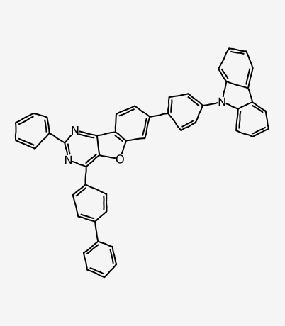 c1ccc(-c2ccc(-c3nc(-c4ccccc4)nc4c3oc3cc(-c5ccc(-n6c7ccccc7c7ccccc76)cc5)ccc34)cc2)cc1